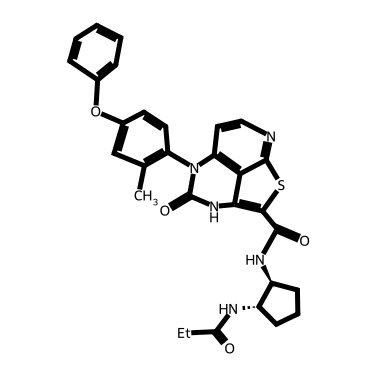 CCC(=O)N[C@H]1CCC[C@@H]1NC(=O)c1sc2nccc3c2c1NC(=O)N3c1ccc(Oc2ccccc2)cc1C